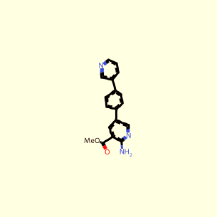 COC(=O)c1cc(-c2ccc(-c3cccnc3)cc2)cnc1N